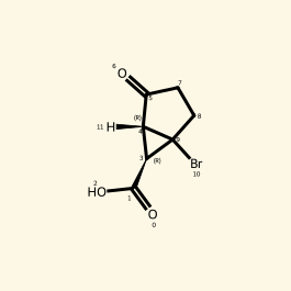 O=C(O)[C@H]1[C@@H]2C(=O)CCC12Br